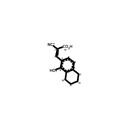 N#C/C(=C/c1ccc2c(c1O)CCCC2)C(=O)O